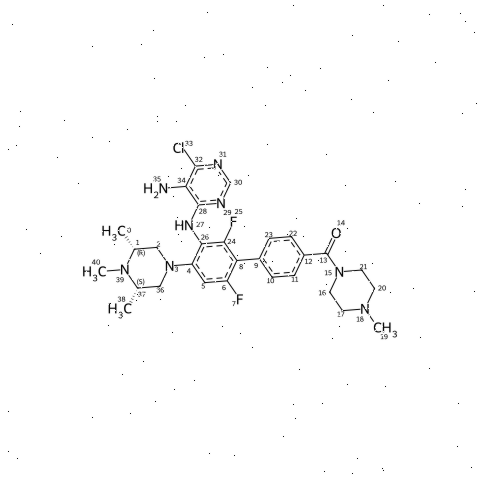 C[C@@H]1CN(c2cc(F)c(-c3ccc(C(=O)N4CCN(C)CC4)cc3)c(F)c2Nc2ncnc(Cl)c2N)C[C@H](C)N1C